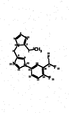 CCc1nccn1Cc1cn(-c2ccc(F)c(C(F)F)c2)cn1